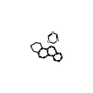 C1=NC=NCO1.c1ccc2c(c1)ccc1c3c(ccc12)CCCC3